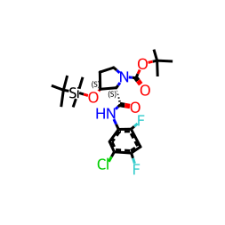 CC(C)(C)OC(=O)N1CC[C@H](O[Si](C)(C)C(C)(C)C)[C@H]1C(=O)Nc1cc(Cl)c(F)cc1F